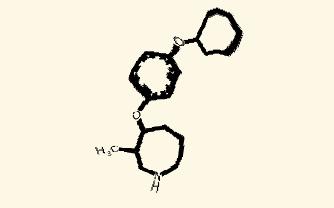 CC1CNCCCC1Oc1ccc(OC2CCCCC2)cc1